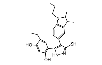 CCCN1c2ccc(-c3c(S)n[nH]c3-c3cc(CC)c(O)cc3O)cc2C(C)C1C